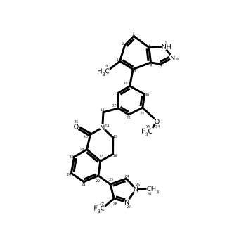 Cc1ccc2[nH]ncc2c1-c1cc(CN2CCc3c(cccc3-c3cn(C)nc3C(F)(F)F)C2=O)cc(OC(F)(F)F)c1